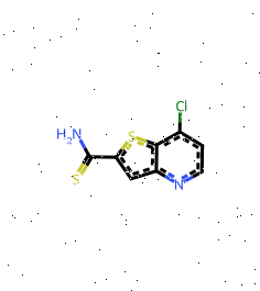 NC(=S)c1cc2nccc(Cl)c2s1